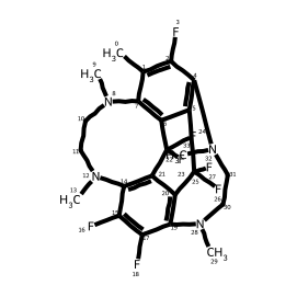 Cc1c(F)c2c3c4c1N(C)CCN(C)c1c(F)c(F)c(c(c1C4(F)F)C3(F)F)N(C)CCN2C